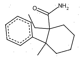 CCC1(C(N)=O)CCCCC1(C)c1ccccc1